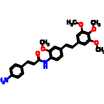 COc1cc(/C=C/c2cc(OC)c(OC)c(OC)c2)ccc1NC(=O)/C=C/c1ccc(N)cc1